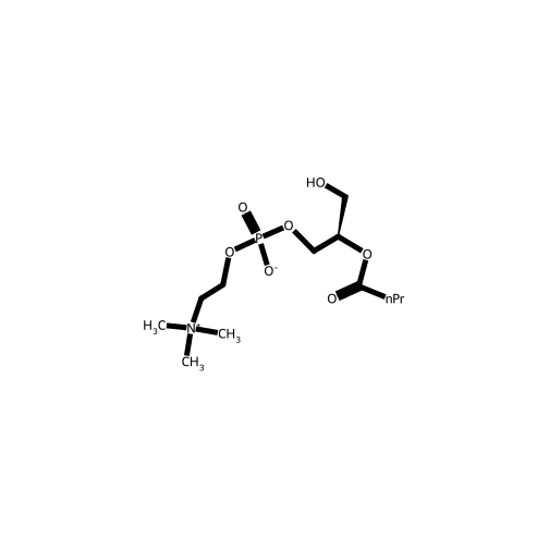 CCCC(=O)O[C@H](CO)COP(=O)([O-])OCC[N+](C)(C)C